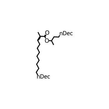 CCCCCCCCCCCCCCCCCCC=C(C)C(=O)OC(C)CCCCCCCCCCCC